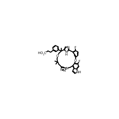 CC1(C)COCC(C)(c2cccc(CCC(=O)O)c2)c2cnc([nH]2)-c2cc(ccc2F)Oc2c(F)cc3[nH]ccc3c2Cn2cc(nn2)C1